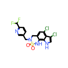 O=S1(=O)Nc2c(cc(Cl)c3c(Cl)c[nH]c23)CN1Cc1ccc(C(F)F)nc1